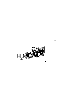 Cc1nc(N2CCC(C)([C@@H](C)N)CC2)c(CO)nc1-c1cncc(Cl)c1Cl